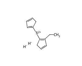 CCC1=[C]([Ti+2][C]2=CC=CC2)CC=C1.[H-].[H-]